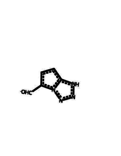 O=[C]c1ccc2[nH]nnn12